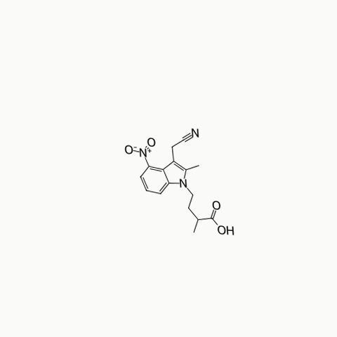 Cc1c(CC#N)c2c([N+](=O)[O-])cccc2n1CCC(C)C(=O)O